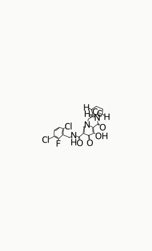 O=C(NCc1c(Cl)ccc(Cl)c1F)c1cn2c(c(O)c1=O)C(=O)N1[C@H]3CC[C@H](CC3)[C@@H]1C2